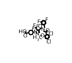 COc1cc(Cl)cc(Cl)c1C(=O)CN(Cc1cc(F)cc(F)c1)C(=O)c1cnn(C2CCC(C(=O)O)CC2)c1C(F)(F)F